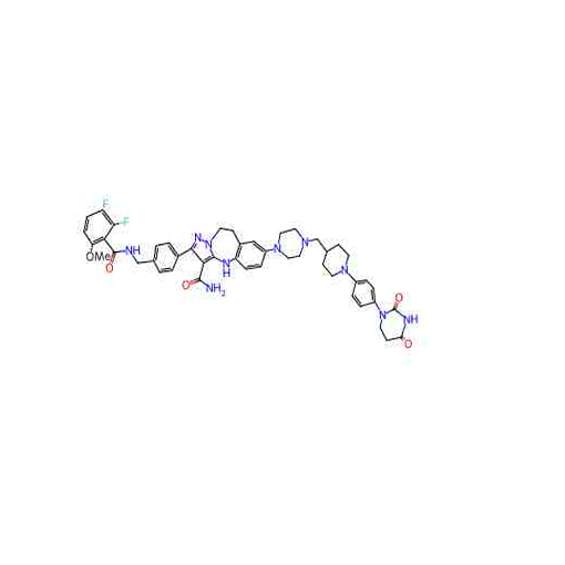 COc1ccc(F)c(F)c1C(=O)NCc1ccc(-c2nn3c(c2C(N)=O)Nc2ccc(N4CCN(CC5CCN(c6ccc(N7CCC(=O)NC7=O)cc6)CC5)CC4)cc2CC3)cc1